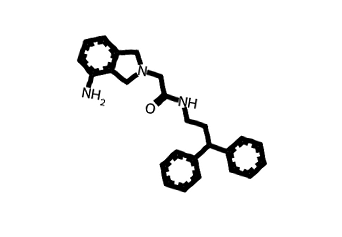 Nc1cccc2c1CN(CC(=O)NCCC(c1ccccc1)c1ccccc1)C2